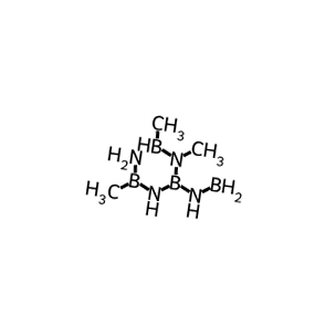 BNB(NB(C)N)N(C)BC